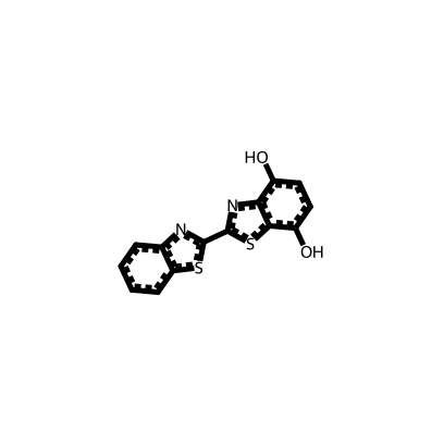 Oc1ccc(O)c2sc(-c3nc4ccccc4s3)nc12